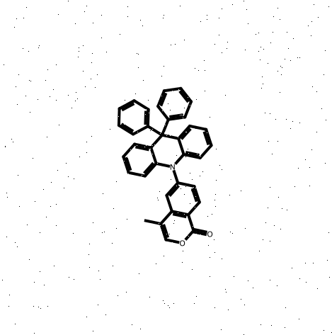 Cc1coc(=O)c2ccc(N3c4ccccc4C(c4ccccc4)(c4ccccc4)c4ccccc43)cc12